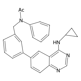 CC(=O)N(Cc1cccc(-c2ccc3ncnc(NC4CC4)c3c2)c1)c1ccccc1